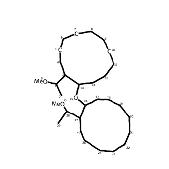 COC(C)C1CCCCCCCCCCC1OC1CCCCCCCCCCC1C(C)OC